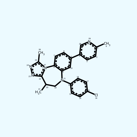 Cc1ccc(-c2ccc3c(c2)N(c2ccc(Cl)cc2)CC(C)c2nnc(C)n2-3)cn1